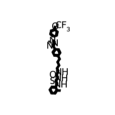 Cc1ccccc1NC(=S)NC(=O)NCCCCc1ccc(-c2ncn(-c3ccc(OC(F)(F)F)cc3)n2)cc1